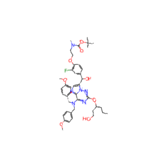 CCCC(CCO)Oc1nc(N(Cc2ccc(OC)cc2)Cc2ccc(OC)cc2)c2ncc(C(O)c3ccc(OCCN(C)C(=O)OC(C)(C)C)c(F)c3)n2n1